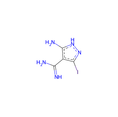 N=C(N)c1c(I)n[nH]c1N